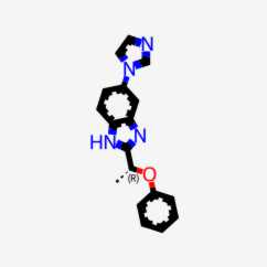 C[C@@H](Oc1ccccc1)c1nc2cc(-n3ccnc3)ccc2[nH]1